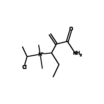 C=C(C(N)=O)C(CC)[N+](C)(C)C(C)Cl